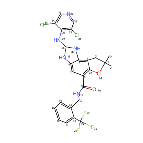 CC1(C)Cc2c3c(cc(C(=O)NCc4ccccc4C(F)(F)F)c2O1)NC(Nc1c(Cl)cncc1Cl)N3